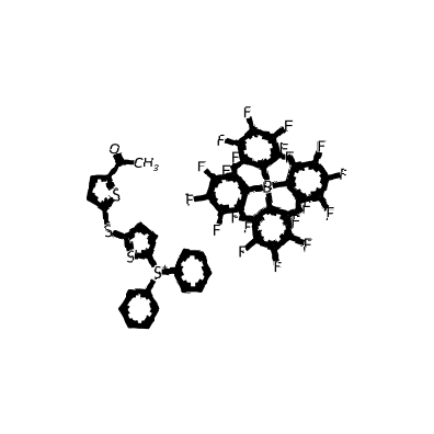 CC(=O)c1ccc(Sc2ccc([S+](c3ccccc3)c3ccccc3)s2)s1.Fc1c(F)c(F)c([B-](c2c(F)c(F)c(F)c(F)c2F)(c2c(F)c(F)c(F)c(F)c2F)c2c(F)c(F)c(F)c(F)c2F)c(F)c1F